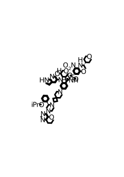 CC(C)Oc1ccccc1[C@@H]1CN(c2ncnc3c2OCCC3)CCN1C1CC2(CCN(c3ccc(C(=O)NS(=O)(=O)c4cc5c(c([N+](=O)[O-])c4)N[C@H](C4CCOCC4)CO5)c(N4c5cc6cc[nH]c6nc5O[C@H]5COCC[C@@H]54)c3)CC2)C1